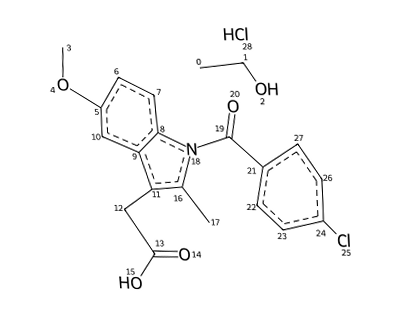 CCO.COc1ccc2c(c1)c(CC(=O)O)c(C)n2C(=O)c1ccc(Cl)cc1.Cl